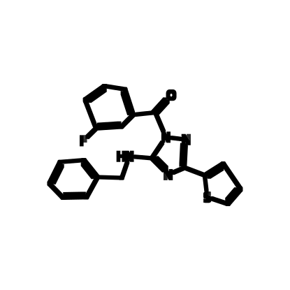 O=C(c1cccc(F)c1)n1nc(-c2cccs2)nc1NCc1ccccc1